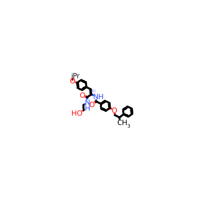 CC(C)Oc1ccc(/C=C(/NC(=O)c2ccc(OCC(C)c3ccccc3)cc2)C(=O)NCCO)cc1